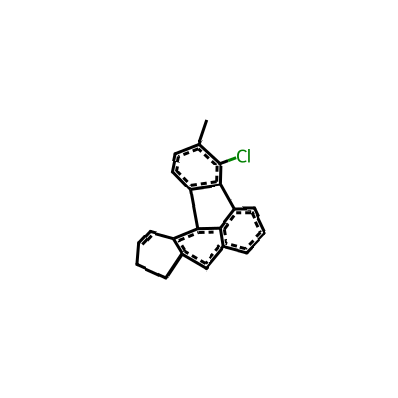 Cc1ccc2c(c1Cl)-c1cccc3cc4c(c-2c13)C=CCC4